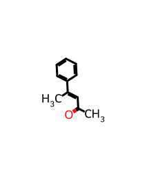 CC(=O)C=C(C)c1ccccc1